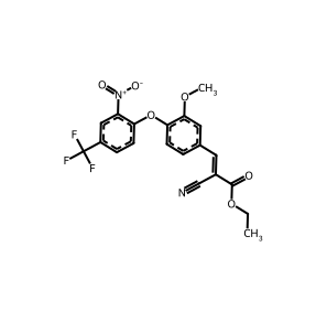 CCOC(=O)/C(C#N)=C/c1ccc(Oc2ccc(C(F)(F)F)cc2[N+](=O)[O-])c(OC)c1